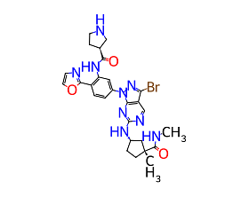 CNC(=O)[C@]1(C)CC[C@@H](Nc2ncc3c(Br)nn(-c4ccc(-c5ncco5)c(NC(=O)[C@H]5CCNC5)c4)c3n2)C1